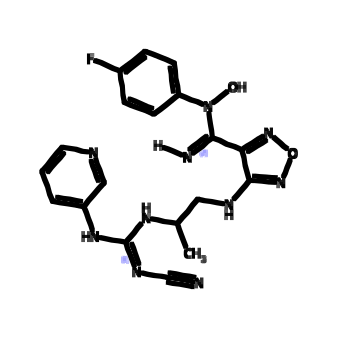 [H]/N=C(/c1nonc1NCC(C)N/C(=N\C#N)Nc1cccnc1)N(O)c1ccc(F)cc1